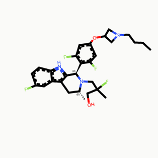 CCCCN1CC(Oc2cc(F)c([C@@H]3c4[nH]c5ccc(F)cc5c4C[C@@H](C)N3CC(C)(F)CO)c(F)c2)C1